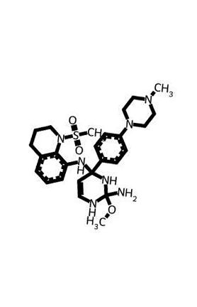 COC1(N)NC=CC(Nc2cccc3c2N(S(C)(=O)=O)CCC3)(c2ccc(N3CCN(C)CC3)cc2)N1